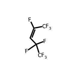 F/C(=C/C(F)(F)C(F)(F)F)C(F)(F)F